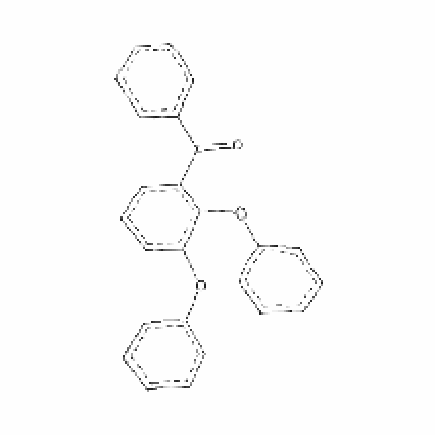 O=C(c1ccccc1)c1cccc(Oc2ccccc2)c1Oc1ccccc1